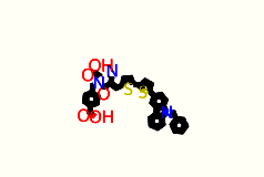 N#C/C(=C\c1ccc(-c2ccc(-c3ccc4c(c3)c3ccccc3n4Cc3ccccc3)s2)s1)C(=O)N(CC(=O)O)Cc1ccc(C(=O)O)cc1